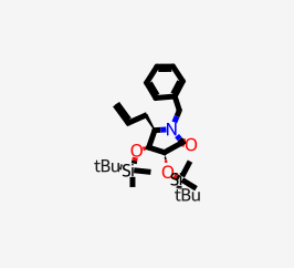 C=CC[C@@H]1[C@H](O[Si](C)(C)C(C)(C)C)[C@@H](O[Si](C)(C)C(C)(C)C)C(=O)N1Cc1ccccc1